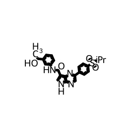 CC(O)c1cccc(NC(=O)c2c[nH]c3ncc(-c4ccc(S(=O)(=O)C(C)C)cc4)nc23)c1